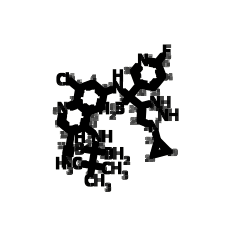 BC(Nc1cc(Cl)c2ncc(C#N)c(NC(B)(B)C(C)(C)C)c2c1)(C1=CN(C2CC2)NN1)c1ccc(F)nc1